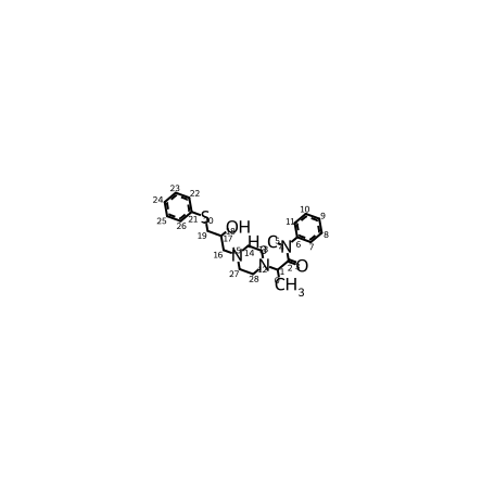 CC(C(=O)N(C)c1ccccc1)N1CCN(CC(O)CSc2ccccc2)CC1